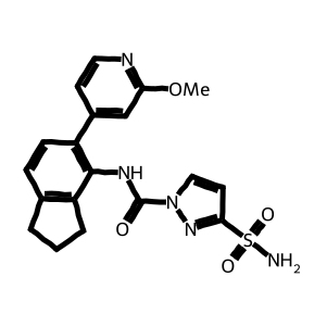 COc1cc(-c2ccc3c(c2NC(=O)n2ccc(S(N)(=O)=O)n2)CCC3)ccn1